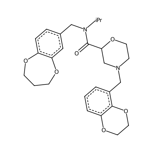 CC(C)N(Cc1ccc2c(c1)OCCCO2)C(=O)C1CN(Cc2cccc3c2OCCO3)CCO1